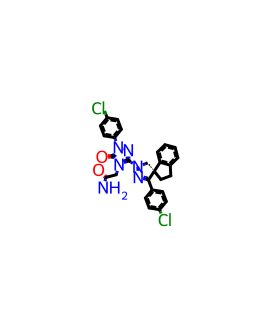 NC(=O)Cn1c(N2C[C@]3(CCc4ccccc43)C(c3ccc(Cl)cc3)=N2)nn(-c2ccc(Cl)cc2)c1=O